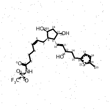 O=C(CCC/C=C\C[C@@H]1[C@@H](/C=C/[C@@H](O)CCc2ccc(I)s2)[C@H](O)C[C@@H]1O)NS(=O)(=O)C(F)(F)F